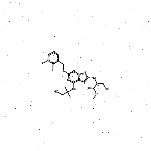 COC(=O)[C@H](CO)Nc1nc2nc(SCc3cccc(F)c3F)nc(NC(C)(C)CO)c2s1